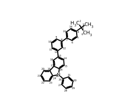 CC(C)(C)c1ccc(-c2cccc(-c3ccc4c(c3)c3ccccc3n4-c3ccccc3)c2)cc1